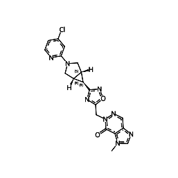 Cn1cnc2cnn(Cc3nc([C@H]4[C@@H]5CN(c6cc(Cl)ccn6)C[C@@H]54)no3)c(=O)c21